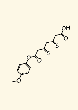 COc1ccc(OC(=O)CC(=S)CC(=S)CC(=O)O)cc1